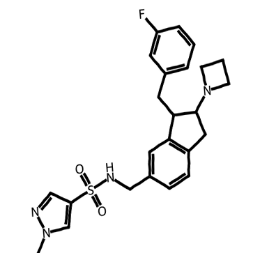 Cn1cc(S(=O)(=O)NCc2ccc3c(c2)C(Cc2cccc(F)c2)C(N2CCC2)C3)cn1